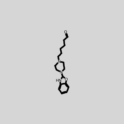 O=[C]CCCCCN1CCN(C2Nc3ccccc3O2)CC1